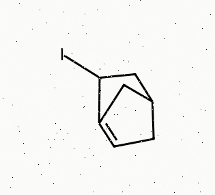 IC1CC2CC=C1C2